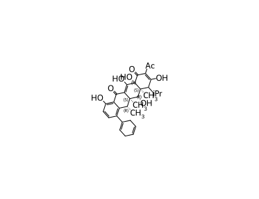 CC(=O)C1=C(O)C(C(C)C)[C@@]2(C)[C@H](O)[C@]3(C)C(=C(O)[C@@]2(O)C1=O)C(=O)c1c(O)ccc(C2=CCC=CC2)c1[C@H]3C